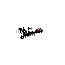 C=CC(=O)Nc1cccc(N2C(=O)N(c3ccccc3)Cc3cnc(Nc4cn(C5CCN(C(=O)OC(C)(C)C)CC5)nc4Cl)nc32)c1